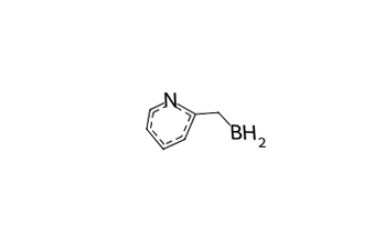 BCc1ccccn1